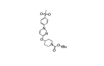 CC(C)(C)OC(=O)N1CCC(OC2=NCN(c3ccc(S(C)(=O)=O)cc3)C=C2)CC1